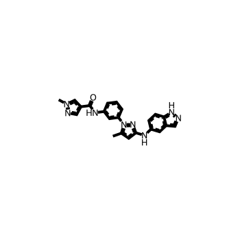 Cc1cc(Nc2ccc3[nH]ncc3c2)nn1-c1cccc(NC(=O)c2cnn(C)c2)c1